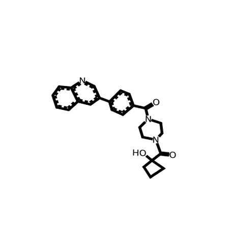 O=C(c1ccc(-c2cnc3ccccc3c2)cc1)N1CCN(C(=O)C2(O)CCC2)CC1